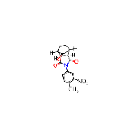 Cc1ccc(N2C(=O)[C@@H]3[C@H]4CC[C@H](C(=O)C4)[C@@H]3C2=O)cc1[N+](=O)[O-]